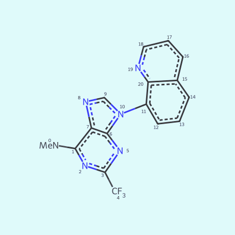 CNc1nc(C(F)(F)F)nc2c1ncn2-c1cccc2cccnc12